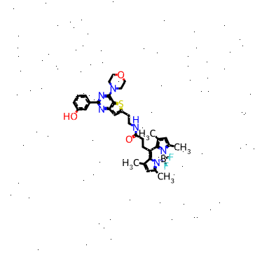 CC1=CC(C)=[N+]2C1=C(CCC(=O)NCCc1cc3nc(-c4cccc(O)c4)nc(N4CCOCC4)c3s1)c1c(C)cc(C)n1[B-]2(F)F